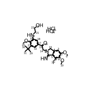 COc1cc2c(c(F)c1OC)C(=N)N(CC(=O)c1cc(NCCO)c(OC)c(C(C)(C)C)c1)C2.Cl.Cl